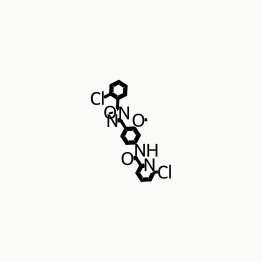 COc1cc(NC(=O)c2cccc(Cl)n2)ccc1-c1noc(-c2ccccc2Cl)n1